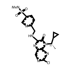 CNS(=O)(=O)c1ccc(CNc2nc3cnc(Cl)nc3n([C@@H](C)C3CC3)c2=O)nc1